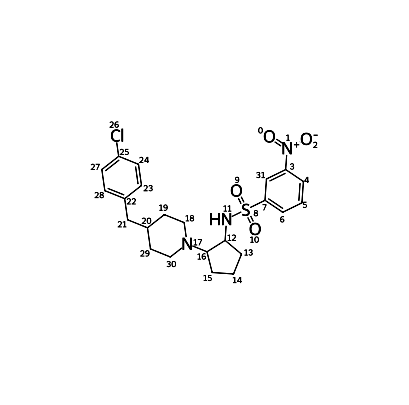 O=[N+]([O-])c1cccc(S(=O)(=O)NC2CCCC2N2CCC(Cc3ccc(Cl)cc3)CC2)c1